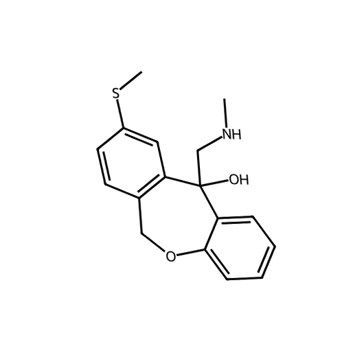 CNCC1(O)c2cc(SC)ccc2COc2ccccc21